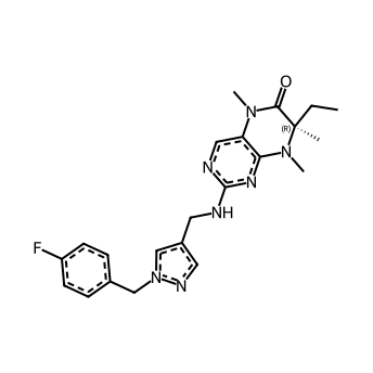 CC[C@]1(C)C(=O)N(C)c2cnc(NCc3cnn(Cc4ccc(F)cc4)c3)nc2N1C